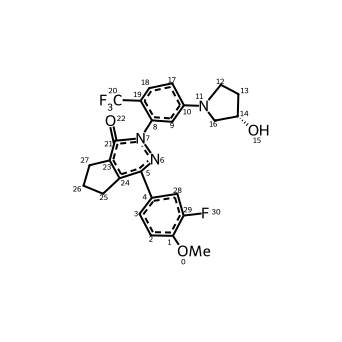 COc1ccc(-c2nn(-c3cc(N4CC[C@H](O)C4)ccc3C(F)(F)F)c(=O)c3c2CCC3)cc1F